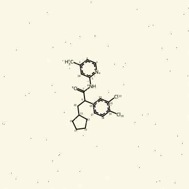 Cc1ccnc(NC(=O)C(CC2CCCC2)c2ccc(Cl)c(Cl)c2)c1